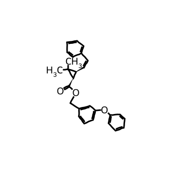 CC1(C)[C@H](C(=O)OCc2cccc(Oc3ccccc3)c2)[C@@H]1/C=C\c1ccccc1